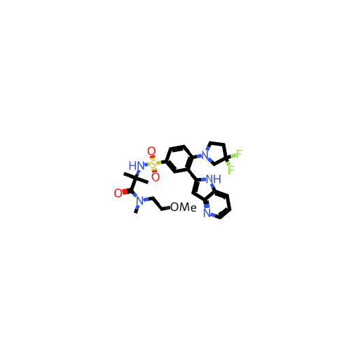 COCCN(C)C(=O)C(C)(C)NS(=O)(=O)c1ccc(N2CCC(F)(F)C2)c(-c2cc3ncccc3[nH]2)c1